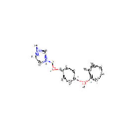 c1ccc(Oc2ccc(OCn3ccnc3)cc2)cc1